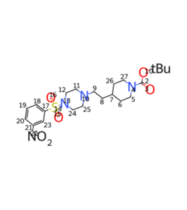 CC(C)(C)OC(=O)N1CCC(CCN2CCN(S(=O)(=O)c3cccc([N+](=O)[O-])c3)CC2)CC1